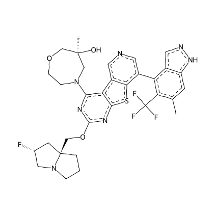 Cc1cc2[nH]ncc2c(-c2cncc3c2sc2nc(OC[C@@]45CCCN4C[C@H](F)C5)nc(N4CCOC[C@@](C)(O)C4)c23)c1C(F)(F)F